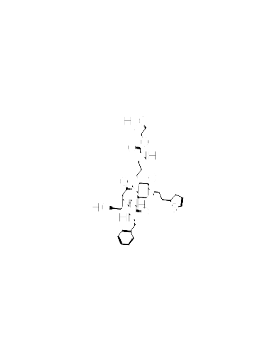 C#CCN1CC(=O)N2[C@@H](CCCNC(=O)OCC=C)C(=O)N(CCC3CC=CS3)C[C@@H]2N1C(=O)NCc1ccccc1